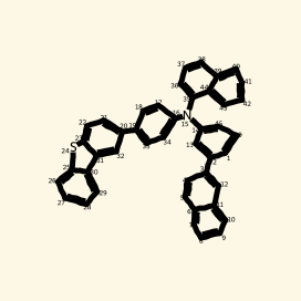 c1cc(-c2ccc3ccccc3c2)cc(N(c2ccc(-c3ccc4sc5ccccc5c4c3)cc2)c2cccc3ccccc23)c1